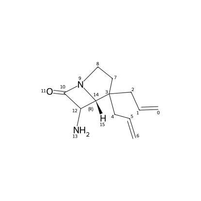 C=CCC1(CC=C)CCN2C(=O)C(N)[C@H]21